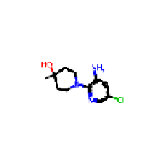 CC1(O)CCN(c2ncc(Cl)cc2N)CC1